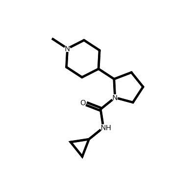 CN1CCC(C2CCCN2C(=O)NC2CC2)CC1